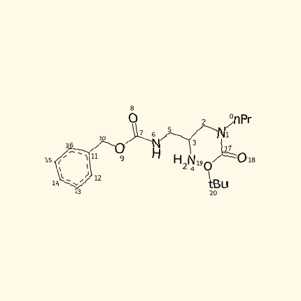 CCCN(CC(N)CNC(=O)OCc1ccccc1)C(=O)OC(C)(C)C